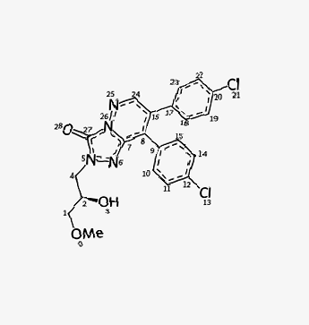 COC[C@H](O)Cn1nc2c(-c3ccc(Cl)cc3)c(-c3ccc(Cl)cc3)cnn2c1=O